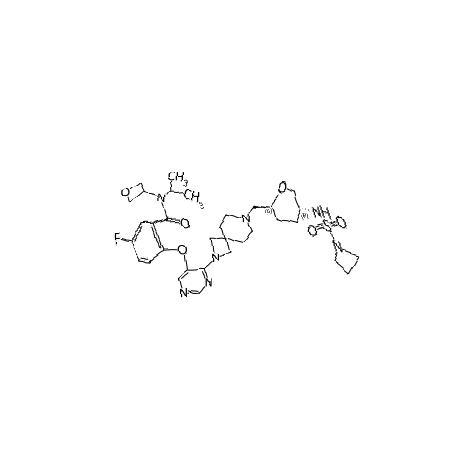 CC(C)N(C(=O)c1cc(F)ccc1Oc1cncnc1N1CC2(CCN(C[C@@H]3CC[C@@H](NS(=O)(=O)N4CCC4)CO3)CC2)C1)C1COC1